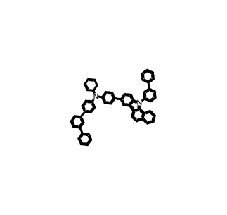 C1=CCC(N(c2ccc(-c3cccc(-c4ccccc4)c3)cc2)c2ccc(-c3ccc4c(c3)c3ccc5ccccc5c3n4-c3cccc(-c4ccccc4)c3)cc2)C=C1